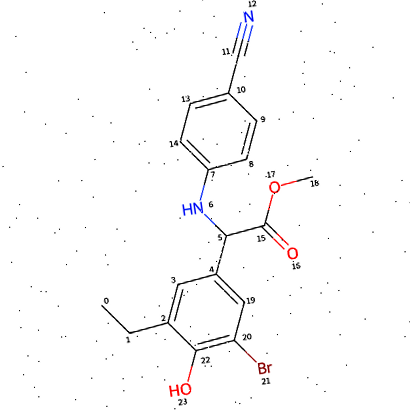 CCc1cc(C(Nc2ccc(C#N)cc2)C(=O)OC)cc(Br)c1O